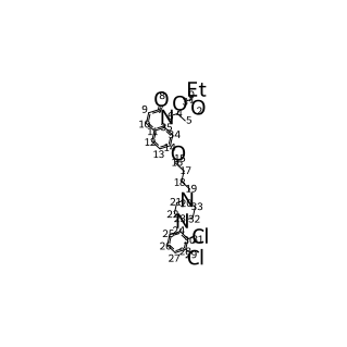 CCC(=O)OC(C)n1c(=O)ccc2ccc(OCCCCN3CCN(c4cccc(Cl)c4Cl)CC3)cc21